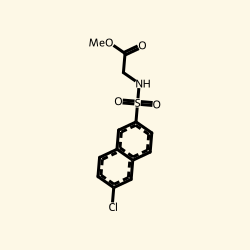 COC(=O)CNS(=O)(=O)c1ccc2cc(Cl)ccc2c1